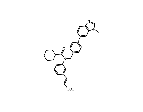 Cn1cnc2ccc(-c3ccc(CN(C(=O)C4CCCCC4)c4cccc(/C=C/C(=O)O)c4)cc3)cc21